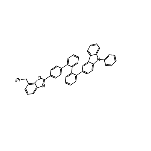 CC(C)Cc1cccc2nc(-c3ccc(-c4ccccc4-c4ccccc4-c4ccc5c(c4)c4ccccc4n5-c4ccccc4)cc3)oc12